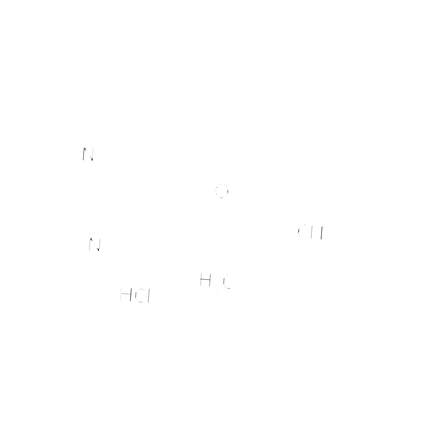 CC(C)Oc1cncnc1.Cl